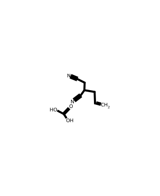 C=CCC(C#N)CC#N.O=C(O)O